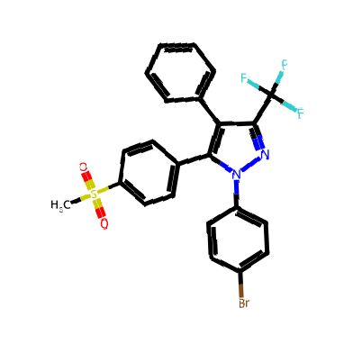 CS(=O)(=O)c1ccc(-c2c(-c3ccccc3)c(C(F)(F)F)nn2-c2ccc(Br)cc2)cc1